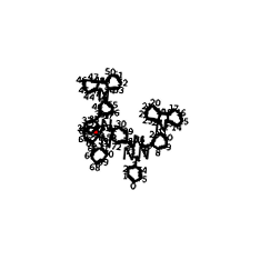 c1ccc(-c2nc(-c3cccc(-n4c5ccccc5c5ccccc54)c3)nc(-c3ccc(-n4c5ccccc5c5cc(-n6c7ccccc7c7ccccc76)ccc54)c(-n4c5ccccc5c5ccccc54)c3)n2)cc1